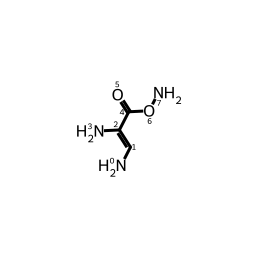 NC=C(N)C(=O)ON